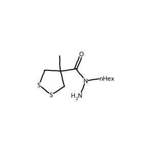 CCCCCCN(N)C(=O)C1(C)CSSC1